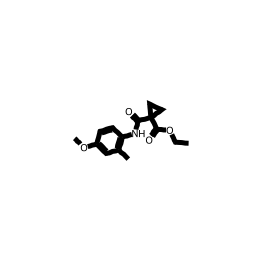 CCOC(=O)C1(C(=O)Nc2ccc(OC)cc2C)CC1